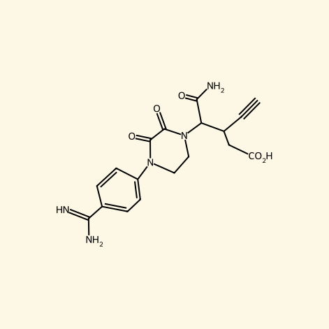 C#CC(CC(=O)O)C(C(N)=O)N1CCN(c2ccc(C(=N)N)cc2)C(=O)C1=O